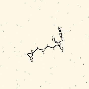 [N-]=[N+]=NS(=O)(=O)CCOCC1CO1